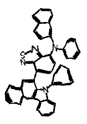 c1ccc(N(c2ccc3ccccc3c2)c2ccc(-c3cc4ccccc4c4c5ccccc5n(-c5ccccc5)c34)c3nsnc23)cc1